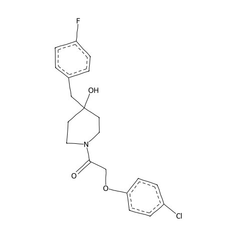 O=C(COc1ccc(Cl)cc1)N1CCC(O)(Cc2ccc(F)cc2)CC1